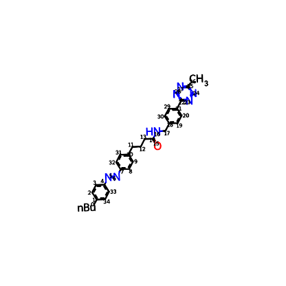 CCCCc1ccc(N=Nc2ccc(CCCC(=O)NCc3ccc(-c4nnc(C)nn4)cc3)cc2)cc1